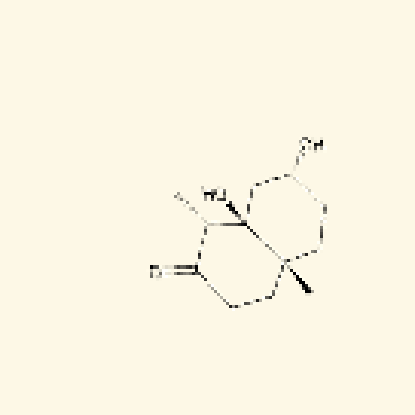 C[C@H]1C(=O)CC[C@@]2(C)CC[C@@H](O)C[C@@]12O